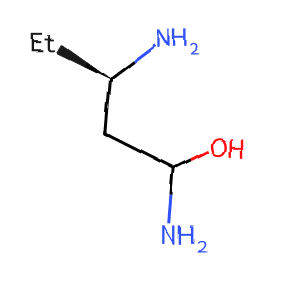 CC[C@@H](N)CC(N)O